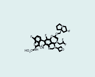 N#Cc1c(NC(=O)O)sc2c(F)ccc(-c3c(F)c4c5c(c3Cl)=NCN(C3COC3)C=5N(CC(F)F)C=C(OC[C@@]35CCCN3C[C@H](F)C5)O4)c12